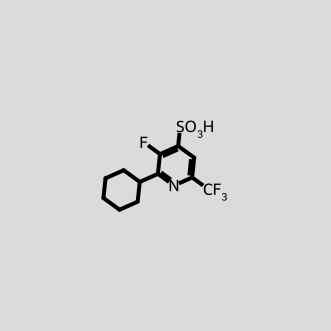 O=S(=O)(O)c1cc(C(F)(F)F)nc(C2CCCCC2)c1F